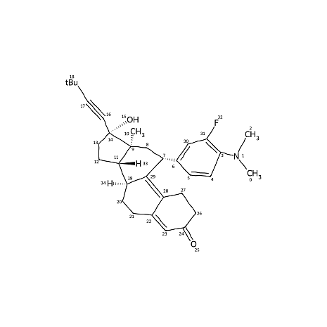 CN(C)c1ccc([C@H]2C[C@@]3(C)[C@@H](CC[C@@]3(O)C#CC(C)(C)C)[C@@H]3CCC4=CC(=O)CCC4=C32)cc1F